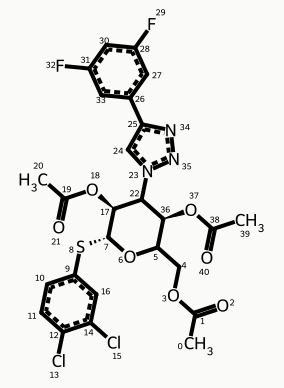 CC(=O)OCC1O[C@H](Sc2ccc(Cl)c(Cl)c2)[C@@H](OC(C)=O)C(n2cc(-c3cc(F)cc(F)c3)nn2)[C@H]1OC(C)=O